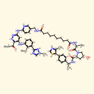 CNC(=O)c1nnc(Nc2ccc(CNC(=O)CCCCCCCCC(=O)N[C@H](C(=O)N3C[C@H](O)C[C@H]3C(=O)N[C@@H](C)c3ccc(-c4scnc4C)cc3)C(C)(C)C)cn2)cc1Nc1cccc(-c2ncn(C)n2)c1OC